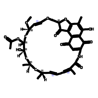 CO[C@H]1/C=C/O[C@@]2(C)Oc3c(C)c(O)c4c(c3C2=O)C(=O)C=C(NC(=O)/C(C)=C\C=C\[C@H](C)C[C@@H](C)C[C@@H](O)[C@H](OC(C)=O)C1)C4=O